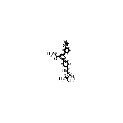 COC(=O)c1cc(-c2cccc(OC(F)(F)F)c2)nc(N2CCC(CNC(=O)OC(C)(C)C)CC2)n1